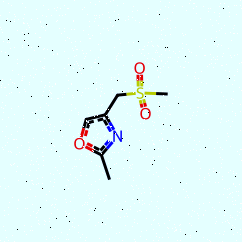 Cc1nc(CS(C)(=O)=O)co1